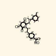 Cc1cccc(N(C)Cc2c(Cl)cc(Cl)c(=O)n2CCc2ccc(C(=O)N=O)cc2)c1